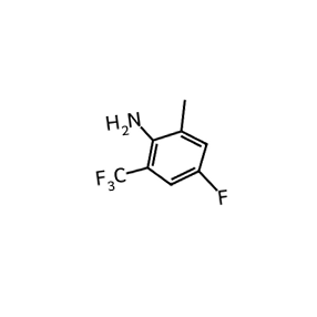 Cc1cc(F)cc(C(F)(F)F)c1N